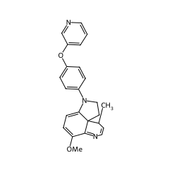 COC1=CC=C2N(c3ccc(Oc4cccnc4)cc3)CCC23C1=NC=CC3C